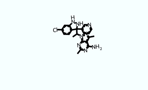 Cc1nc(N)c2c(C)nn(C(C)C3(c4cccnc4)NNc4cc(Cl)ccc43)c2n1